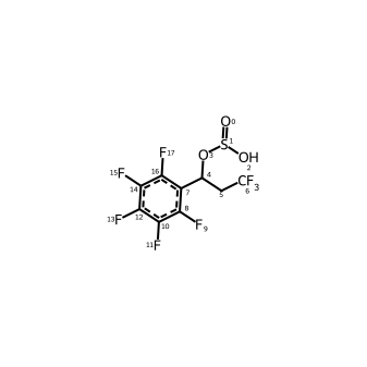 O=S(O)OC(CC(F)(F)F)c1c(F)c(F)c(F)c(F)c1F